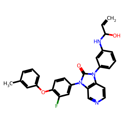 C=CC(O)Nc1cccc(-n2c(=O)n(-c3ccc(Oc4cccc(C)c4)c(F)c3)c3cnccc32)c1